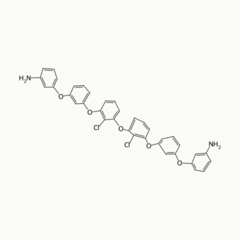 Nc1cccc(Oc2cccc(Oc3cccc(Oc4cccc(Oc5cccc(Oc6cccc(N)c6)c5)c4Cl)c3Cl)c2)c1